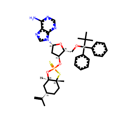 C=C(C)[C@H]1CC[C@@]2(C)SP(=S)(O[C@H]3C[C@H](n4cnc5c(N)ncnc54)O[C@@H]3CO[Si](c3ccccc3)(c3ccccc3)C(C)(C)C)O[C@@H]2C1